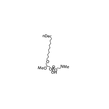 CCCCCCCCCCCCCCCCCCCCOCC(COP(=O)(O)OCCNC)OC